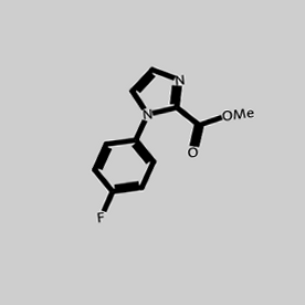 COC(=O)c1nccn1-c1ccc(F)cc1